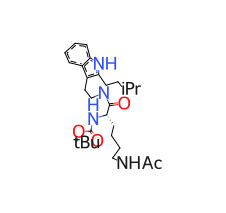 CC(=O)NCCCC[C@H](NC(=O)OC(C)(C)C)C(=O)N1CCc2c([nH]c3ccccc23)C1CC(C)C